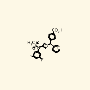 CS(=O)(=O)N(c1cc(F)cc(F)c1)C1CN([C@H](c2ccccc2)c2ccc(C(=O)O)cc2)C1